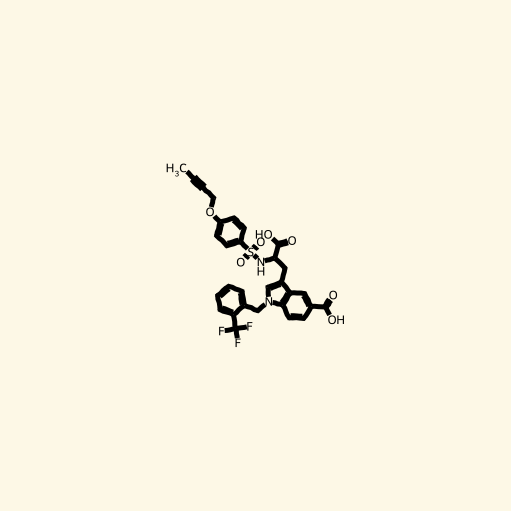 CC#CCOc1ccc(S(=O)(=O)NC(Cc2cn(Cc3ccccc3C(F)(F)F)c3ccc(C(=O)O)cc23)C(=O)O)cc1